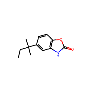 CCC(C)(C)c1ccc2oc(=O)[nH]c2c1